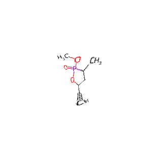 C#CC1CC(C)P(=O)(OC)O1